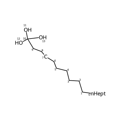 CCCCCCCCCCCCCCCCC(O)(O)O